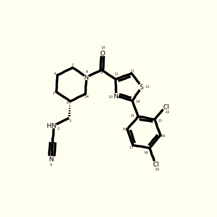 N#CNC[C@@H]1CCCN(C(=O)c2csc(-c3ccc(Cl)cc3Cl)n2)C1